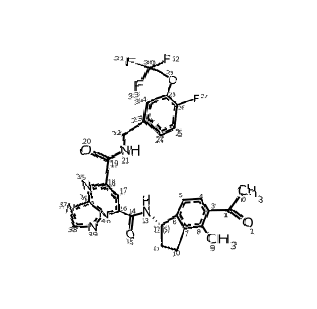 CC(=O)c1ccc2c(c1C)CC[C@@H]2NC(=O)c1cc(C(=O)NCc2ccc(F)c(OC(F)(F)F)c2)nc2ncnn12